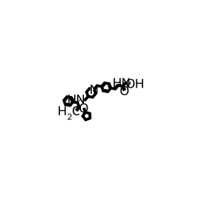 C=C(OC1CCCC1)[C@@H](NCC1CCN(Cc2ccc(/C=C/C(=O)NO)cc2)CC1)c1ccccc1